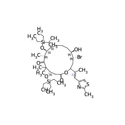 CC[Si](CC)(CC)O[C@H]1[C@@H](C)CCC[C@@H](O)[C@H](Br)CC(/C(C)=C/c2csc(C)n2)OC(=O)C[C@H](O[Si](CC)(CC)CC)C(C)(C)C(=O)[C@@H]1C